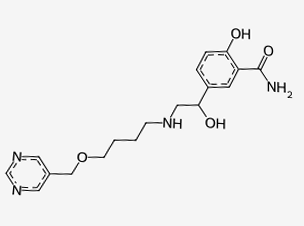 NC(=O)c1cc(C(O)CNCCCCOCc2cncnc2)ccc1O